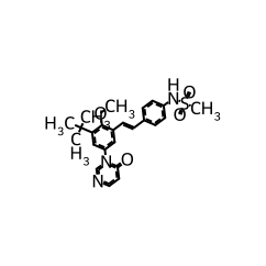 COc1c(C=Cc2ccc(NS(C)(=O)=O)cc2)cc(-n2cnccc2=O)cc1C(C)(C)C